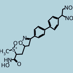 C[S+]([O-])C(CC1CC(c2ccc(-c3ccc(C(CN=O)N=O)cc3)cc2)=NO1)C(=O)NO